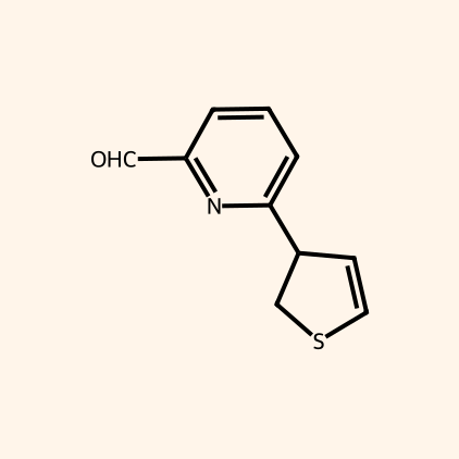 O=Cc1cccc(C2C=CSC2)n1